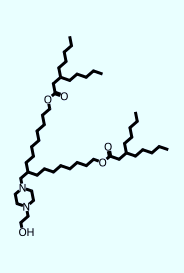 CCCCCC(CCCCC)CC(=O)OCCCCCCCCC(CCCCCCCCOC(=O)CC(CCCCC)CCCCC)CN1CCN(CCO)CC1